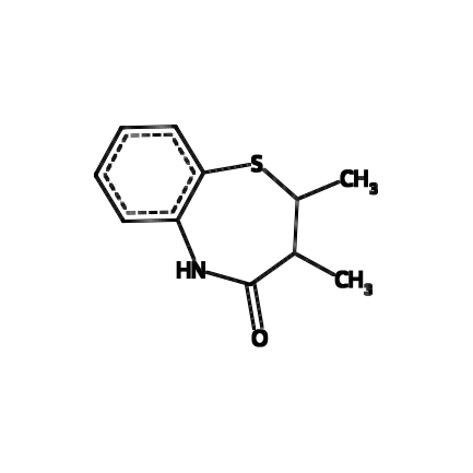 CC1Sc2ccccc2NC(=O)C1C